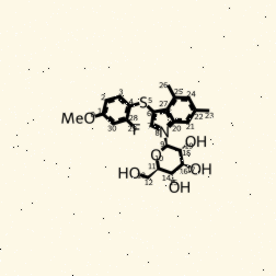 COc1ccc(Sc2cn([C@@H]3O[C@H](CO)[C@@H](O)[C@H](O)[C@H]3O)c3cc(C)cc(C)c23)c(F)c1